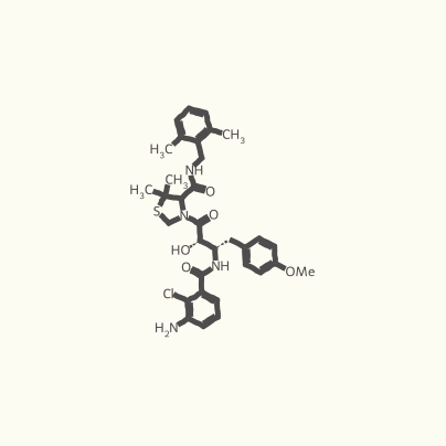 COc1ccc(C[C@H](NC(=O)c2cccc(N)c2Cl)[C@H](O)C(=O)N2CSC(C)(C)C2C(=O)NCc2c(C)cccc2C)cc1